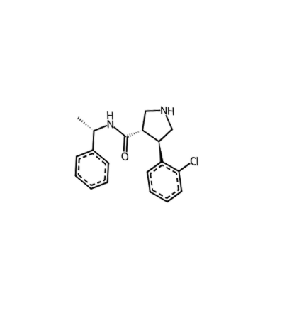 C[C@H](NC(=O)[C@@H]1CNC[C@H]1c1ccccc1Cl)c1ccccc1